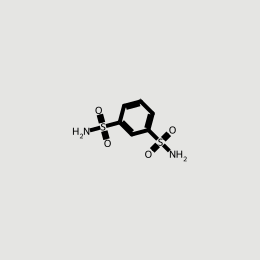 NS(=O)(=O)c1c[c]cc(S(N)(=O)=O)c1